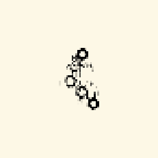 CC(C)(NC(=O)[C@@H]1CNC[C@H](N2CC(=O)N(c3ccccc3Cl)CC2(C)C)C1)c1ccccc1